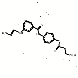 NN=CNc1cccc(C(=O)Nc2ccc(OC(=O)CCC(=O)O)cc2)c1